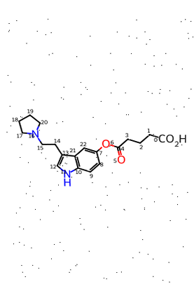 O=C(O)CCCC(=O)Oc1ccc2[nH]cc(CCN3CCCC3)c2c1